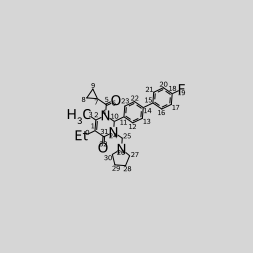 CCC1=C(C)N(C(=O)C2CC2)C(c2ccc(-c3ccc(F)cc3)cc2)N(CN2CCCC2)C1=O